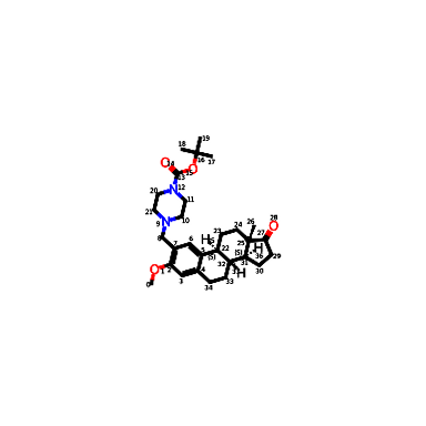 COc1cc2c(cc1CN1CCN(C(=O)OC(C)(C)C)CC1)[C@H]1CC[C@]3(C)C(=O)CC[C@H]3[C@@H]1CC2